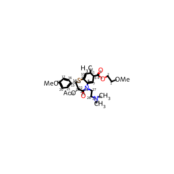 COCCOC(=O)C1C=C2C(=CC1C)S[C@@H](c1ccc(OC)cc1)[C@@H](OC(C)=O)C(=O)N2CCN(C)C